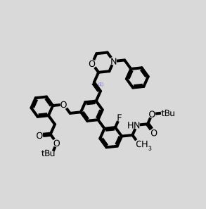 CC(NC(=O)OC(C)(C)C)c1cccc(-c2cc(/C=C/C3CN(Cc4ccccc4)CCO3)cc(COc3ccccc3CC(=O)OC(C)(C)C)c2)c1F